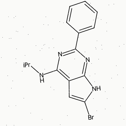 CC(C)Nc1nc(-c2ccccc2)nc2[nH]c(Br)cc12